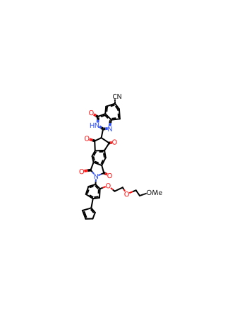 COCCOCCOc1cc(C2=CCC=C2)ccc1N1C(=O)c2cc3c(cc2C1=O)C(=O)C(c1nc2ccc(C#N)cc2c(=O)[nH]1)C3=O